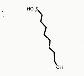 O=S(=O)(O)CCCCCCCCO